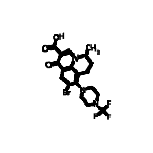 CC1CCc2c(N3CCN(C(F)(F)F)CC3)c(Br)cc3c(=O)c(C(=O)O)cn1c23